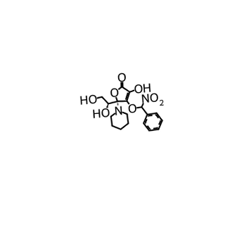 O=C1O[C@@]([C@@H](O)CO)(N2CCCCC2)C(OC(c2ccccc2)[N+](=O)[O-])=C1O